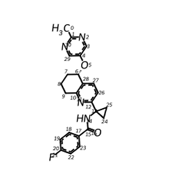 Cc1ncc(O[C@H]2CCCc3nc(C4(NC(=O)c5ccc(F)cc5)CC4)ccc32)cn1